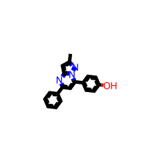 Cc1cc2nc(-c3ccccc3)cc(-c3ccc(O)cc3)n2n1